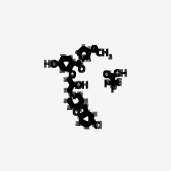 CO[C@H]1CCN(C(=O)c2ccc(O)cc2OC[C@@H](O)CN2CCC3(CC2)Cc2cc(Cl)ccc2O3)C1.O=C(O)C(F)(F)F